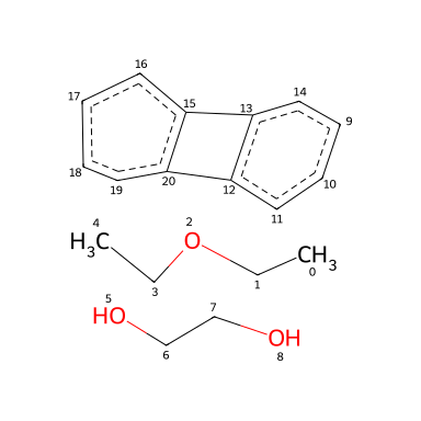 CCOCC.OCCO.c1ccc2c(c1)-c1ccccc1-2